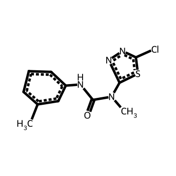 Cc1cccc(NC(=O)N(C)c2nnc(Cl)s2)c1